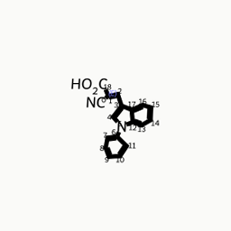 N#C/C(=C\c1cn(-c2ccccc2)c2ccccc12)C(=O)O